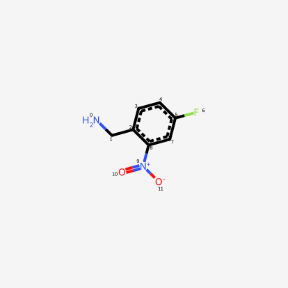 NCc1ccc(F)cc1[N+](=O)[O-]